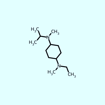 CCN(C)C1CCC(N(C)C(C)C)CC1